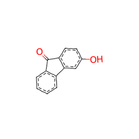 O=C1c2ccccc2-c2cc(O)ccc21